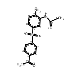 CC(=O)Nc1cc(S(=O)(=O)c2ccc(C(C)=O)cc2)ccc1N